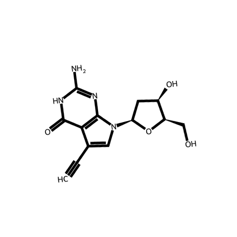 C#Cc1cn([C@H]2C[C@@H](O)[C@@H](CO)O2)c2nc(N)[nH]c(=O)c12